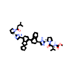 COC(=O)N[C@H](C(=O)N1CCC[C@H]1c1ncc(-c2ccc(-c3ccc(-c4cnc([C@@H]5CCCN5C(=O)CC(C)C)[nH]4)c4c3CC3(CCCC3)C4)c3c2C2CCC3C2)[nH]1)C(C)C